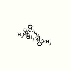 CON(C)C(=O)c1cn(CCCN2CCN(c3ccccc3SC)CC2)c2ccccc12